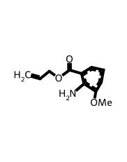 C=CCOC(=O)c1cccc(OC)c1N